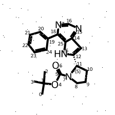 CC(C)(C)OC(=O)N1CCC[C@H]1c1cc2ncnc(-c3ccccc3)c2[nH]1